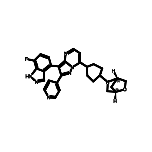 Fc1ccc(-c2c(-c3ccncc3)nn3c(C4CCC(N5C[C@@H]6C[C@H]5CO6)CC4)ccnc23)c2cn[nH]c12